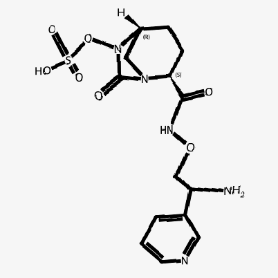 NC(CONC(=O)[C@@H]1CC[C@@H]2CN1C(=O)N2OS(=O)(=O)O)c1cccnc1